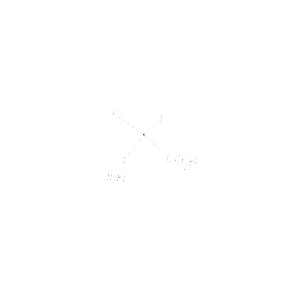 O=C(O)C(I)(I)I.[InH3]